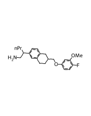 CCCC(CN)c1ccc2c(c1)CCC(COc1ccc(F)c(OC)c1)C2